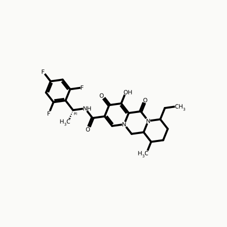 CCC1CCC(C)C2Cn3cc(C(=O)N[C@H](C)c4c(F)cc(F)cc4F)c(=O)c(O)c3C(=O)N12